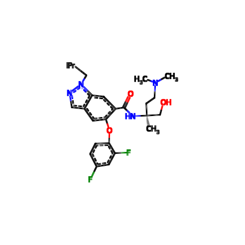 CC(C)Cn1ncc2cc(Oc3ccc(F)cc3F)c(C(=O)N[C@](C)(CO)CCN(C)C)cc21